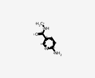 [CH2]NC(=O)c1ccc(N)nc1